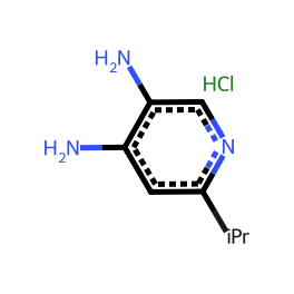 CC(C)c1cc(N)c(N)cn1.Cl